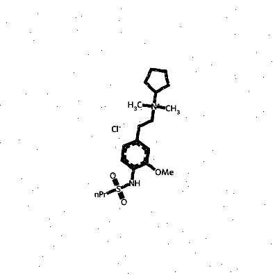 CCCS(=O)(=O)Nc1ccc(CC[N+](C)(C)C2CCCC2)cc1OC.[Cl-]